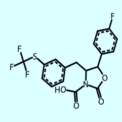 O=C(O)N1C(=O)OC(c2ccc(F)cc2)C1Cc1cccc(SC(F)(F)F)c1